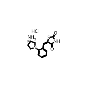 Cl.N[C@H]1CCN(c2ccccc2C=C2SC(=O)NC2=O)C1